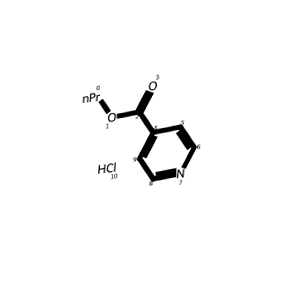 CCCOC(=O)c1ccncc1.Cl